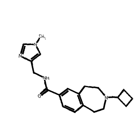 Cn1cnc(CNC(=O)c2ccc3c(c2)CCN(C2CCC2)CC3)c1